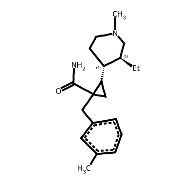 CC[C@@H]1CN(C)CC[C@H]1C1CC1(Cc1cccc(C)c1)C(N)=O